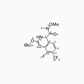 CON(C)C(=O)C(NC(=O)OC(C)(C)C)c1ccc(C(F)(F)F)c(F)c1